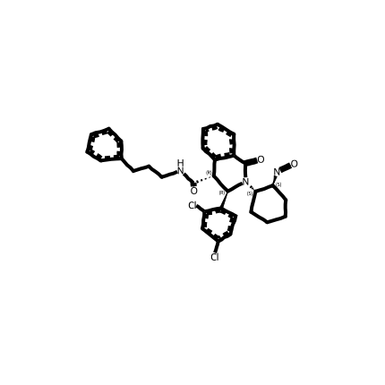 O=N[C@H]1CCCC[C@@H]1N1C(=O)c2ccccc2[C@@H](C(=O)NCCCc2ccccc2)[C@@H]1c1ccc(Cl)cc1Cl